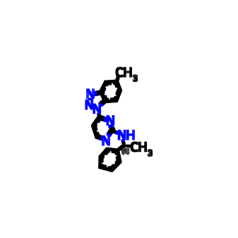 Cc1ccc2c(c1)nnn2-c1ccnc(N[C@@H](C)c2ccccc2)n1